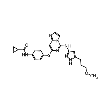 COCCCc1cc(Nc2nc(Sc3ccc(NC(=O)C4CC4)cc3)cc3nccn23)n[nH]1